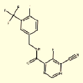 N#Cc1ncnc(C(=O)NCc2ccc(F)c(C(F)(F)F)c2)c1F